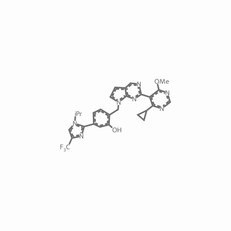 COc1ncnc(C2CC2)c1-c1ncc2ccn(Cc3ccc(-c4nc(C(F)(F)F)cn4C(C)C)cc3O)c2n1